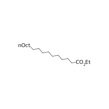 [CH2]COC(=O)CCCCCCCCCCCCCCCCC